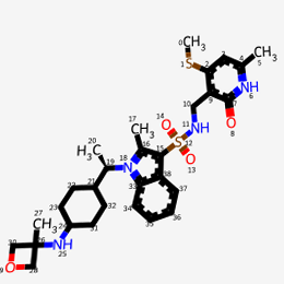 CSc1cc(C)[nH]c(=O)c1CNS(=O)(=O)c1c(C)n([C@H](C)C2CCC(NC3(C)COC3)CC2)c2ccccc12